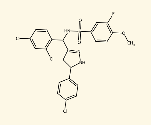 COc1ccc(S(=O)(=O)NC(C2=NNC(c3ccc(Cl)cc3)C2)c2ccc(Cl)cc2Cl)cc1F